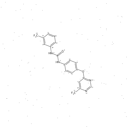 O=C(Nc1ccc(Oc2cc(C(F)(F)F)ncn2)cc1)Nc1cccc(C(F)(F)F)c1